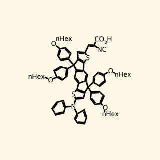 [C-]#[N+]/C(=C\c1cc2c(s1)-c1cc3c(cc1C2(c1ccc(OCCCCCC)cc1)c1ccc(OCCCCCC)cc1)-c1sc(N(c2ccccc2)c2ccccc2)cc1C3(c1ccc(OCCCCCC)cc1)c1ccc(OCCCCCC)cc1)C(=O)O